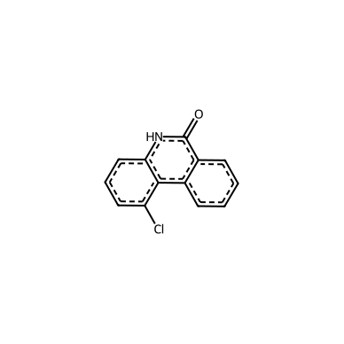 O=c1[nH]c2cccc(Cl)c2c2ccccc12